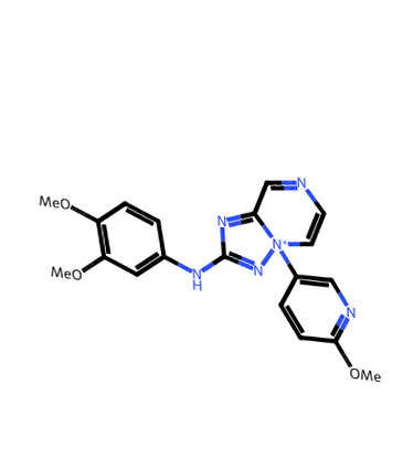 COc1ccc([N+]23C=CN=CC2=NC(Nc2ccc(OC)c(OC)c2)=N3)cn1